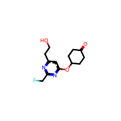 O=C1CCC(Oc2cc(CCO)nc(CF)n2)CC1